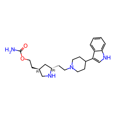 NC(=O)OCC[C@@H]1CN[C@@H](CCN2CCC(c3c[nH]c4ccccc34)CC2)C1